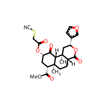 COC(=O)[C@@H]1C[C@H](OC(=O)CSC#N)C(=O)[C@H]2[C@@]1(C)CC[C@H]1C(=O)O[C@@H](c3ccoc3)C[C@]21C